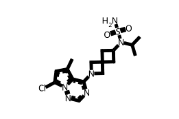 Cc1cc(Cl)n2ncnc(N3CC4(CC(N(C(C)C)S(N)(=O)=O)C4)C3)c12